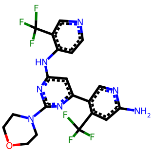 Nc1cc(C(F)(F)F)c(-c2cc(Nc3ccncc3C(F)(F)F)nc(N3CCOCC3)n2)cn1